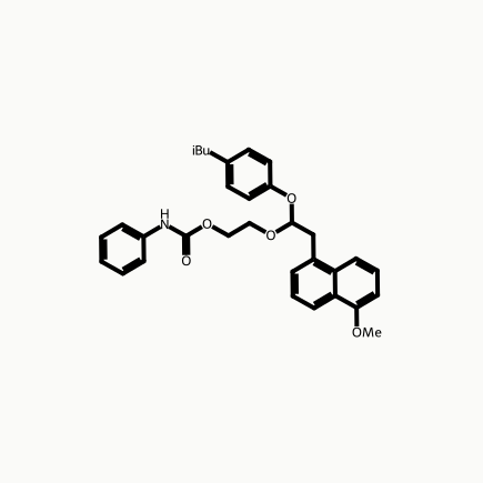 CCC(C)c1ccc(OC(Cc2cccc3c(OC)cccc23)OCCOC(=O)Nc2ccccc2)cc1